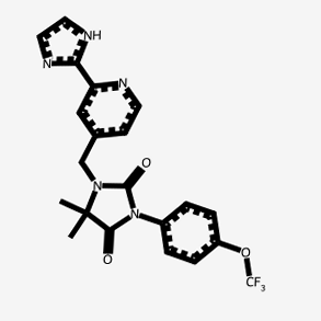 CC1(C)C(=O)N(c2ccc(OC(F)(F)F)cc2)C(=O)N1Cc1ccnc(-c2ncc[nH]2)c1